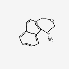 N[C@H]1COCc2ccc3ccccc3c21